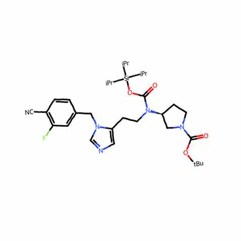 CC(C)[Si](OC(=O)N(CCc1cncn1Cc1ccc(C#N)c(F)c1)[C@H]1CCN(C(=O)OC(C)(C)C)C1)(C(C)C)C(C)C